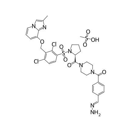 CS(=O)(=O)O.Cc1cn2cccc(OCc3c(Cl)ccc(S(=O)(=O)N4CCC[C@H]4C(=O)N4CCN(C(=O)c5ccc(C=NN)cc5)CC4)c3Cl)c2n1